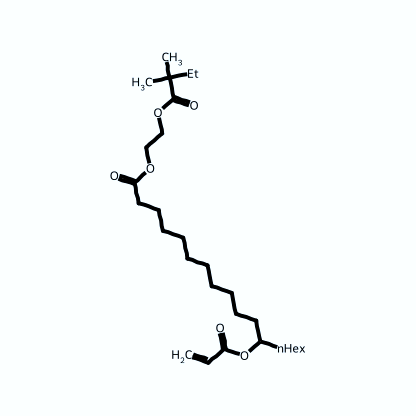 C=CC(=O)OC(CCCCCC)CCCCCCCCCCC(=O)OCCOC(=O)C(C)(C)CC